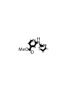 COC(=O)c1ccnc(NC2=NCCS2)c1